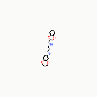 CN(CCCNCC1COc2ccccc2O1)c1ccc2c(c1)OCCCO2